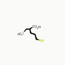 O=C(O)CC(CCCS)C(=O)O